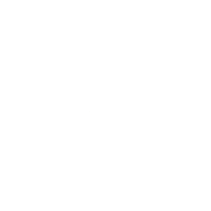 c1cc(Sc2ccoc2)co1